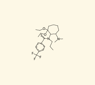 CCCN(C(=S)c1ccc(C(F)(F)F)cc1)C1C(N(C)C)CCCCC1(OCC)OCC